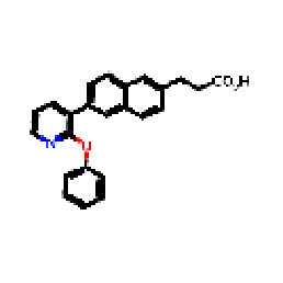 O=C(O)CCc1ccc2cc(-c3cccnc3Oc3ccccc3)ccc2c1